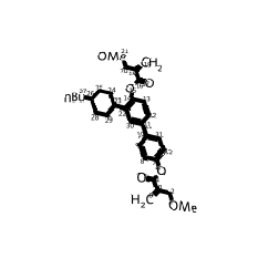 C=C(COC)C(=O)Oc1ccc(-c2ccc(OC(=O)C(=C)COC)c(C3CCC(CCCC)CC3)c2)cc1